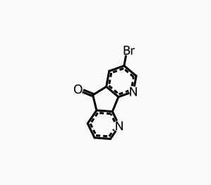 O=C1c2cccnc2-c2ncc(Br)cc21